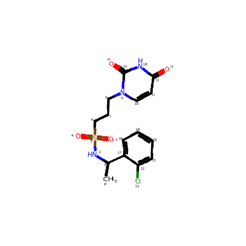 CC(NS(=O)(=O)CCCn1ccc(=O)[nH]c1=O)c1ccccc1Cl